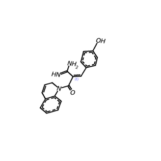 N=C(N)/C(=C\c1ccc(O)cc1)C(=O)N1CC=Cc2ccccc21